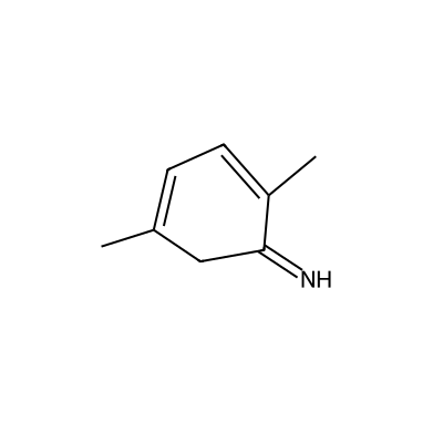 CC1=CC=C(C)C(=N)C1